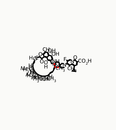 CO[C@H]1/C=C/O[C@@]2(C)Oc3c(C)c(O)c4c(O)c(c(CN5CCC6(CC5)CCN(c5c(F)cn7c(=O)c(C(=O)O)cc(C8CC8)c7c5C)C6)c(O)c4c3C2=O)NC(=O)/C(C)=C\C=C\[C@H](C)[C@H](O)[C@@H](C)[C@@H](O)[C@@H](C)[C@H](OC(C)=O)[C@@H]1C